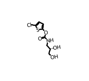 O=C(NC[C@H](O)CO)Oc1ccc(Cl)s1